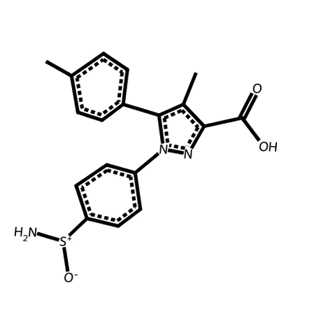 Cc1ccc(-c2c(C)c(C(=O)O)nn2-c2ccc([S+](N)[O-])cc2)cc1